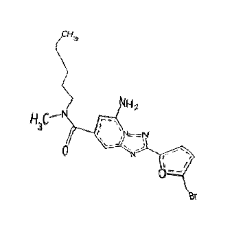 CCCCCN(C)C(=O)c1cc(N)n2nc(-c3ccc(Br)o3)nc2c1